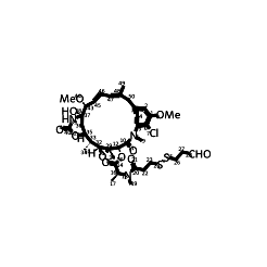 COc1cc2cc(c1Cl)N(C)C(=O)[C@H](OC(=O)[C@H](C)N(C)C(=O)CCSSCCC=O)[C@]1(C)O[C@H]1[C@H](C)[C@@H]1C[C@@](O)(NC(=O)O1)[C@H](OC)/C=C/C=C(\C)C2